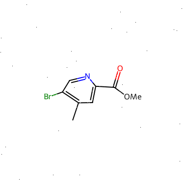 COC(=O)c1cc(C)c(Br)cn1